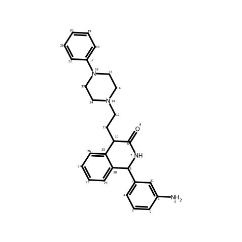 Nc1cccc(C2NC(=O)C(CCN3CCN(c4ccccc4)CC3)c3ccccc32)c1